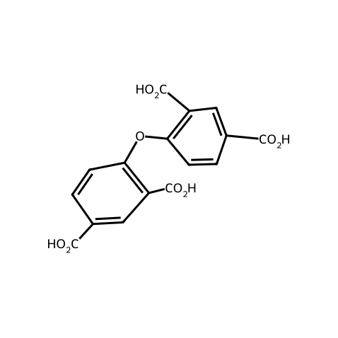 O=C(O)c1ccc(Oc2ccc(C(=O)O)cc2C(=O)O)c(C(=O)O)c1